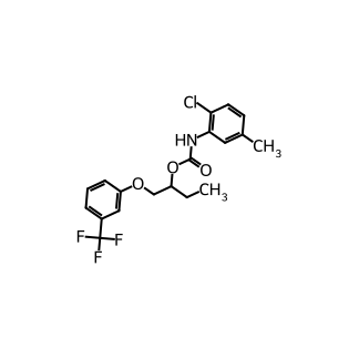 CCC(COc1cccc(C(F)(F)F)c1)OC(=O)Nc1cc(C)ccc1Cl